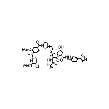 CNc1nc(Nc2ccc(C(=O)N3CCN(C[C@H](C)SC(C)(C)[C@H](NC(=O)C4(F)CC4)C(=O)N4C[C@H](O)C[C@@H]4C(=O)NCc4ccc(-c5scnc5C)cc4)CC3)cc2OC)ncc1Cl